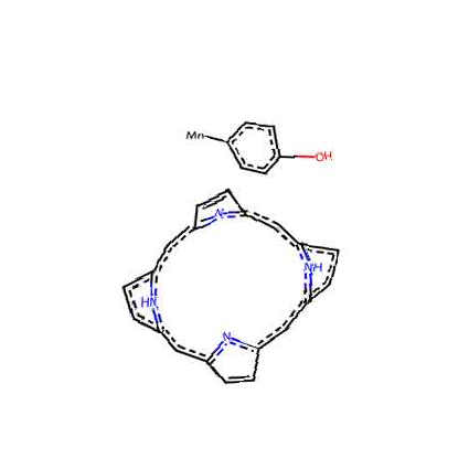 C1=Cc2cc3ccc(cc4nc(cc5ccc(cc1n2)[nH]5)C=C4)[nH]3.Oc1cc[c]([Mn])cc1